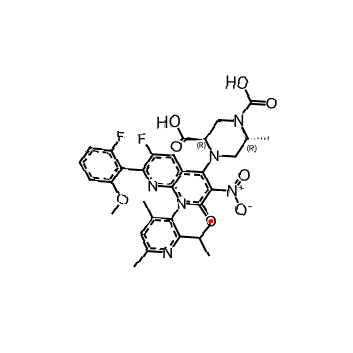 COc1cccc(F)c1-c1nc2c(cc1F)c(N1C[C@@H](C)N(C(=O)O)C[C@@H]1C(=O)O)c([N+](=O)[O-])c(=O)n2-c1c(C)cc(C)nc1C(C)C